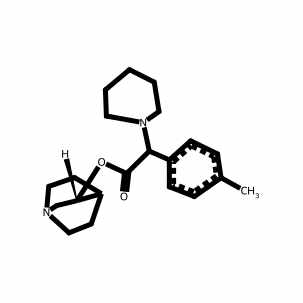 Cc1ccc(C(C(=O)O[C@H]2CN3CCC2CC3)N2CCCCC2)cc1